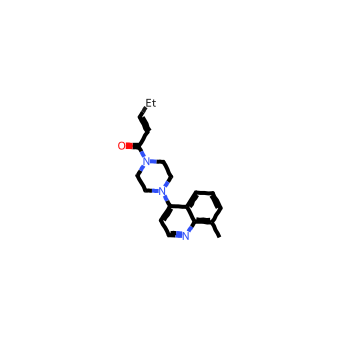 CCC=CC(=O)N1CCN(c2ccnc3c(C)cccc23)CC1